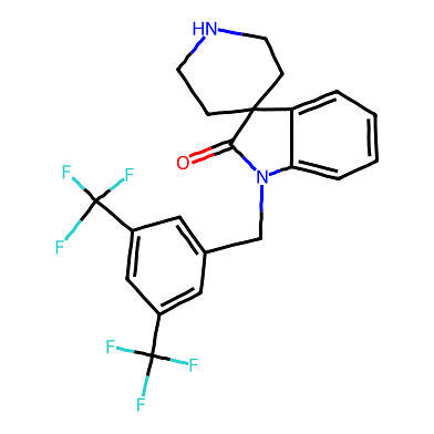 O=C1N(Cc2cc(C(F)(F)F)cc(C(F)(F)F)c2)c2ccccc2C12CCNCC2